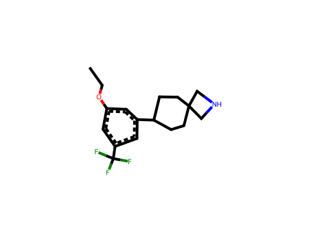 CCOc1cc(C2CCC3(CC2)CNC3)cc(C(F)(F)F)c1